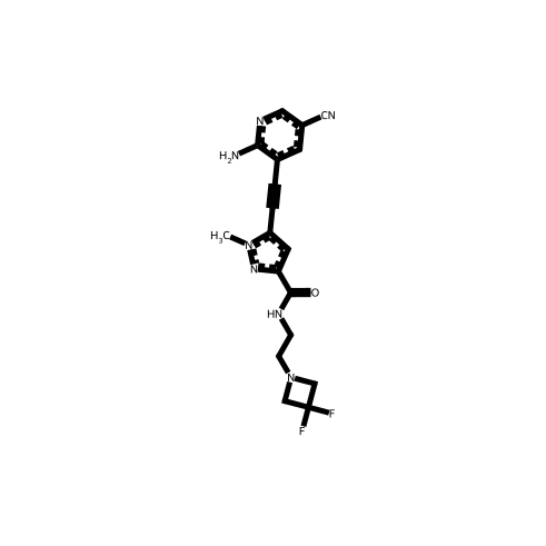 Cn1nc(C(=O)NCCN2CC(F)(F)C2)cc1C#Cc1cc(C#N)cnc1N